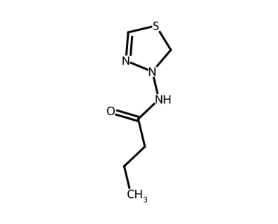 CCCC(=O)NN1CSC=N1